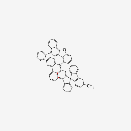 CC1C=CC2=C(C1)c1ccccc1C21c2ccccc2-c2ccc(N(c3ccccc3-c3ccccc3)c3cccc4oc5c6ccccc6c(-c6ccccc6)cc5c34)cc21